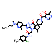 COCCN(C)c1ccc(-c2nc3n(CC(=O)Nc4ccc(C(F)(F)F)cc4Cl)c4c(c(=O)n3n2)C2(CCN(C(=O)c3ncnc(C)c3O)CC2)CC4C)c(C)n1